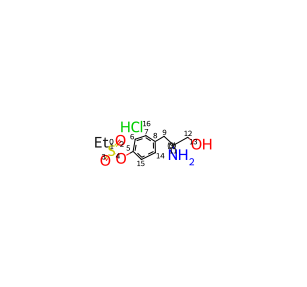 CCS(=O)(=O)Oc1ccc(C[C@H](N)CO)cc1.Cl